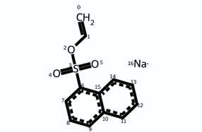 C=COS(=O)(=O)c1cccc2ccccc12.[Na]